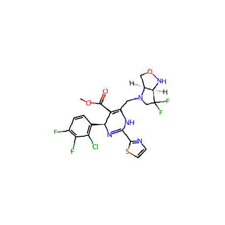 COC(=O)C1=C(CN2CC(F)(F)[C@@H]3NOC[C@@H]32)NC(c2nccs2)=N[C@H]1c1ccc(F)c(F)c1Cl